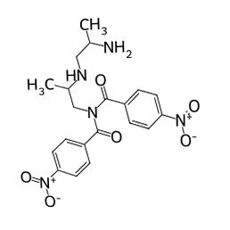 CC(N)CNC(C)CN(C(=O)c1ccc([N+](=O)[O-])cc1)C(=O)c1ccc([N+](=O)[O-])cc1